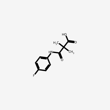 CC(C)(C(=O)O)C(=O)Nc1ccc(F)cc1